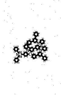 Cc1ccc(-c2nc(-c3ccccc3)nc(-c3ccccc3)n2)cc1-n1c2ccccc2c2cc(-c3cc4c5c(c3)N(c3cc(-c6ccccc6)cc(-c6ccccc6)c3)c3ccccc3B5c3ccccc3N4c3cc(-c4ccccc4)cc(-c4ccccc4)c3)ccc21